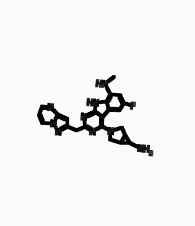 CNc1cc(F)cc2c1[nH]c1nc(Cc3cc4ncccn4n3)nc(N3CC4C(N)C4C3)c12